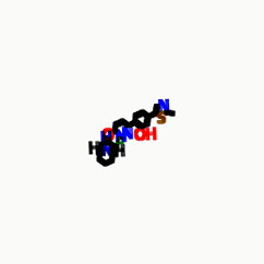 Cc1ncc(-c2ccc(-c3ccc(O[C@H]4C[C@@H]5CCC[C@@H](N5)[C@H]4F)nn3)c(O)c2)s1